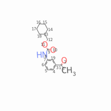 CC(=O)c1cccc(NC(=O)OCC2CCCCC2)c1